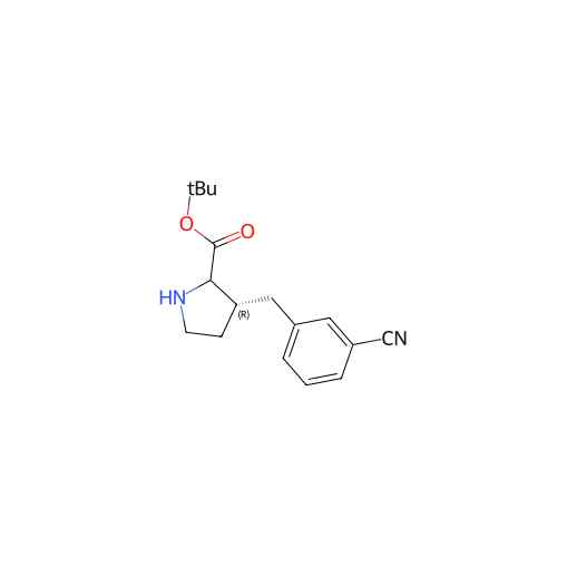 CC(C)(C)OC(=O)C1NCC[C@H]1Cc1cccc(C#N)c1